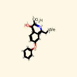 CNCc1nc(C(=O)O)c(O)c2ccc(Oc3ccccc3)cc12